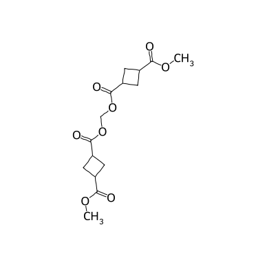 COC(=O)C1CC(C(=O)OCOC(=O)C2CC(C(=O)OC)C2)C1